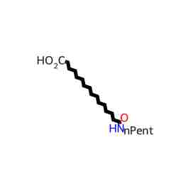 CCCCCNC(=O)CCCCCCCCCCCCCCC(=O)O